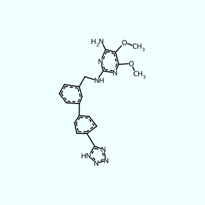 COc1nc(NCc2cccc(-c3ccc(-c4nnn[nH]4)cc3)c2)nc(N)c1OC